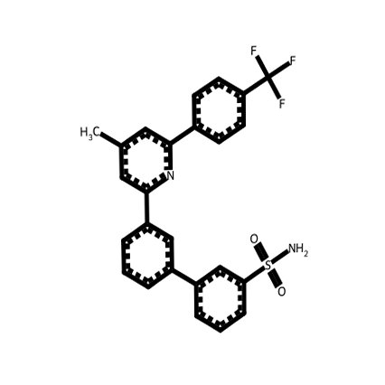 Cc1cc(-c2ccc(C(F)(F)F)cc2)nc(-c2cccc(-c3cccc(S(N)(=O)=O)c3)c2)c1